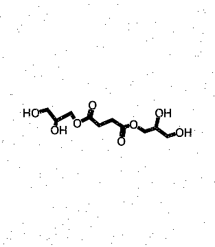 O=C(CCC(=O)OCC(O)CO)OCC(O)CO